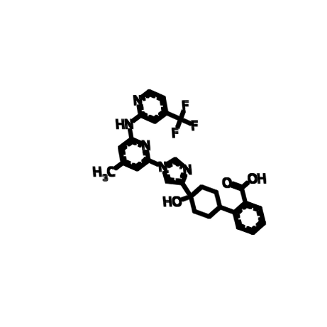 Cc1cc(Nc2cc(C(F)(F)F)ccn2)nc(-n2cnc(C3(O)CCC(c4ccccc4C(=O)O)CC3)c2)c1